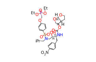 CCOP(=O)(COc1ccc(S(=O)(=O)N(CC(C)C)C[C@@H](O)[C@H](Cc2ccc([N+](=O)[O-])cc2)NC(=O)O[C@H]2CO[C@H]3OCC[C@H]32)cc1)OCC